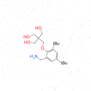 CC(C)(C)c1cc(CN)c(OCC(CO)(CO)CO)c(C(C)(C)C)c1